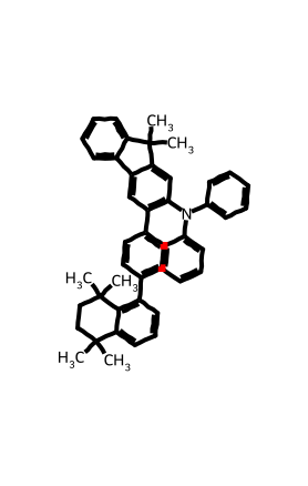 CC1(C)CCC(C)(C)c2c(-c3ccc(-c4cc5c(cc4N(c4ccccc4)c4ccccc4)C(C)(C)c4ccccc4-5)cc3)cccc21